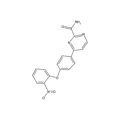 NC(=O)c1nccc(-c2ccc(Oc3ccccc3[N+](=O)[O-])cc2)n1